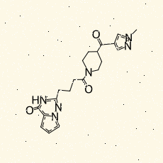 Cn1cc(C(=O)C2CCN(C(=O)CCCc3nn4cccc4c(=O)[nH]3)CC2)cn1